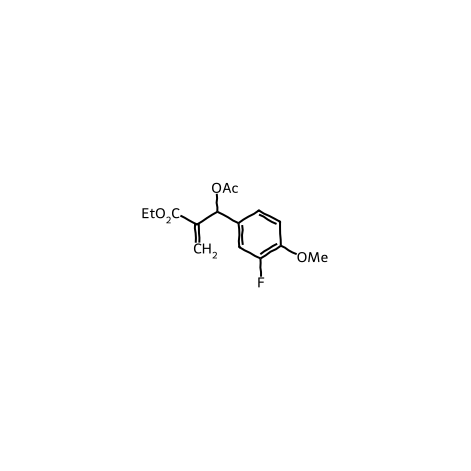 C=C(C(=O)OCC)C(OC(C)=O)c1ccc(OC)c(F)c1